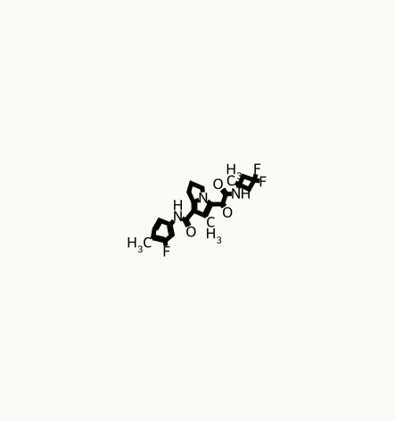 Cc1ccc(NC(=O)c2c(C)c(C(=O)C(=O)NC3(C)CC(F)(F)C3)n3c2CCC3)cc1F